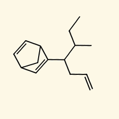 C=CCC(C1=CC2C=CC1C2)C(C)CC